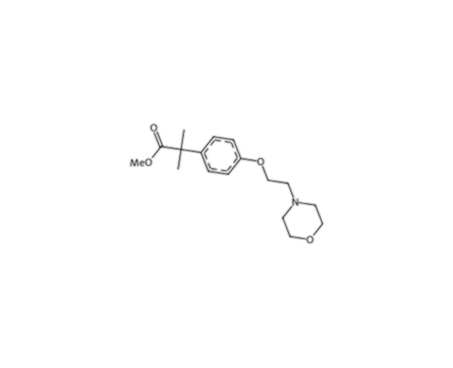 COC(=O)C(C)(C)c1ccc(OCCN2CCOCC2)cc1